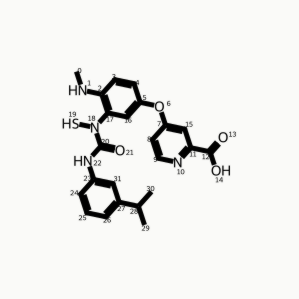 CNc1ccc(Oc2ccnc(C(=O)O)c2)cc1N(S)C(=O)Nc1cccc(C(C)C)c1